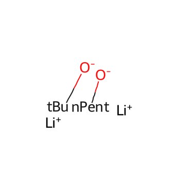 CC(C)(C)[O-].CCCCC[O-].[Li+].[Li+]